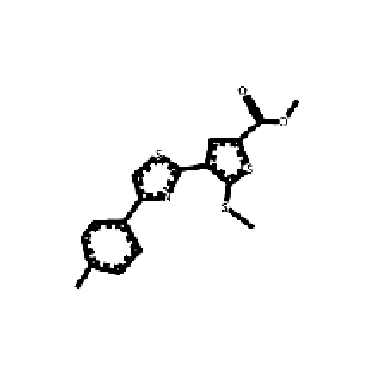 COC(=O)c1cc(-c2nc(-c3ccc(C)cc3)cs2)c(SC)s1